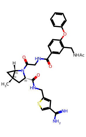 CC(=O)NCc1cc(C(=O)NCC(=O)N2[C@H]3C[C@@]3(C)C[C@H]2C(=O)NCc2cc(C(=N)N)cs2)ccc1Oc1ccccc1